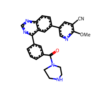 COc1ncc(-c2ccc3ncnc(-c4cccc(C(=O)N5CCNCC5)c4)c3c2)cc1C#N